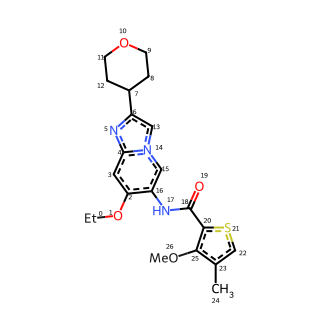 CCOc1cc2nc(C3CCOCC3)cn2cc1NC(=O)c1scc(C)c1OC